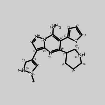 CN1C=C(c2cnn3c(N)c(-c4cccs4)c(C4CCCNC4)nc23)CN1